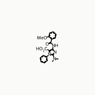 COc1ccccc1C(=O)Nc1nc(N(C)C)n(-c2ccccc2)c1C(=O)O